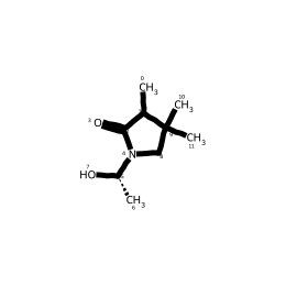 CC1C(=O)N([C@H](C)O)CC1(C)C